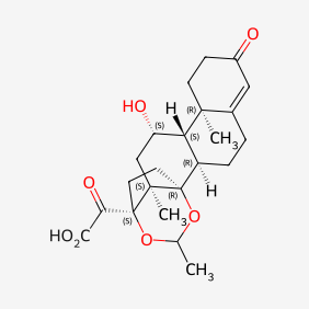 CC1O[C@@]2(C(=O)C(=O)O)CC[C@@]3(O1)[C@@H]1CCC4=CC(=O)CC[C@]4(C)[C@H]1[C@@H](O)C[C@]23C